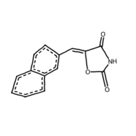 O=C1NC(=O)C(=Cc2ccc3ccccc3c2)O1